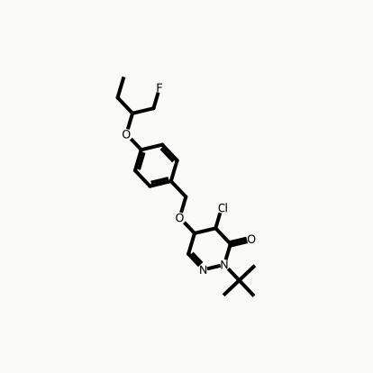 CCC(CF)Oc1ccc(COC2C=NN(C(C)(C)C)C(=O)C2Cl)cc1